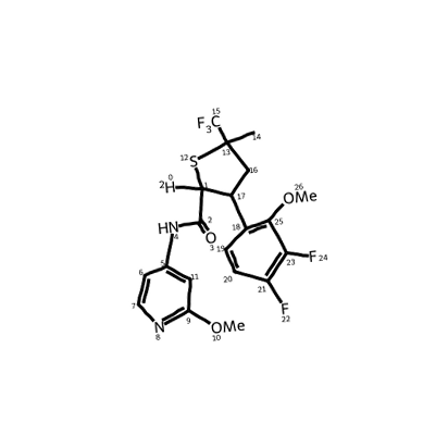 [2H]C1(C(=O)Nc2ccnc(OC)c2)SC(C)(C(F)(F)F)CC1c1ccc(F)c(F)c1OC